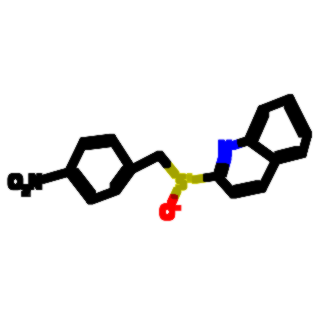 O=[N+]([O-])c1ccc(C[S+]([O-])c2ccc3ccccc3n2)cc1